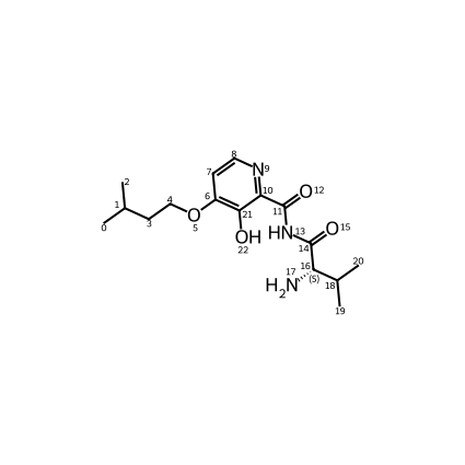 CC(C)CCOc1ccnc(C(=O)NC(=O)[C@@H](N)C(C)C)c1O